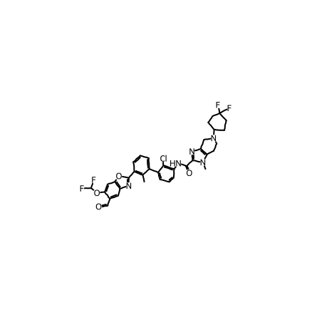 Cc1c(-c2nc3cc(C=O)c(OC(F)F)cc3o2)cccc1-c1cccc(NC(=O)c2nc3c(n2C)CCN(C2CCC(F)(F)CC2)C3)c1Cl